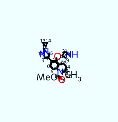 COC(=O)N1c2ccc(-c3cnn(C4CC4)c3)c(OC3CNC3)c2CC[C@@H]1C